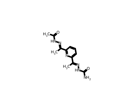 CC(=O)N/N=C(\C)c1cccc(/C(C)=N/NC(N)=O)n1